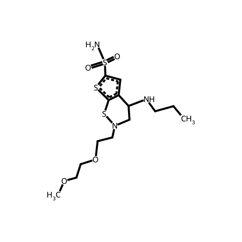 CCCNC1CN(CCOCCOC)Sc2sc(S(N)(=O)=O)cc21